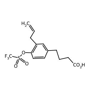 C=CCc1cc(CCCC(=O)O)ccc1OS(=O)(=O)C(F)(F)F